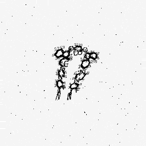 N#Cc1ccc(N2CCN(C3CCC4(CC3)CC(OC(=O)/C=C\C(=O)OC3CC5(CCC(N6CCN(c7ccc(C#N)c(F)c7)CC6)CC5)c5ccccc53)c3ccccc34)CC2)cc1F